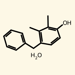 Cc1c(O)ccc(Cc2ccccc2)c1C.O